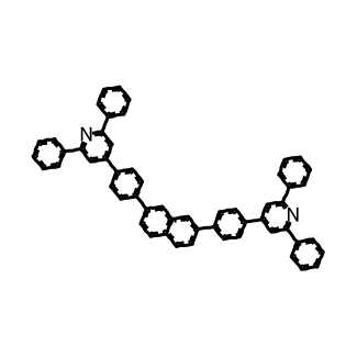 c1ccc(-c2cc(-c3ccc(-c4ccc5ccc(-c6ccc(-c7cc(-c8ccccc8)nc(-c8ccccc8)c7)cc6)cc5c4)cc3)cc(-c3ccccc3)n2)cc1